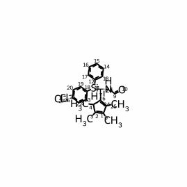 CC1=C(C)C(C)[C]([Ti+2]([NH]C=O)[SiH](c2ccccc2)c2ccccc2)=C1C.[Cl-].[Cl-]